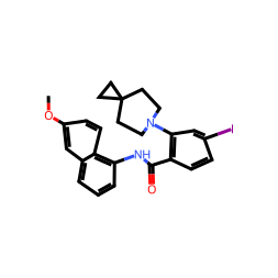 COc1ccc2c(NC(=O)c3ccc(I)cc3N3CCC4(CC3)CC4)cccc2c1